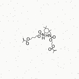 C=C(C)C(=O)OCCCCOC(=O)NC1CC(C)(C)CC(C)(CNC(=O)OCCOC(=O)C(=C)C)C1